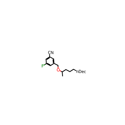 CCCCCCCCCCCCCC(C)OCc1cc(F)cc(C#N)c1